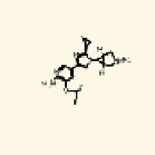 CC(=O)N1C[C@@H]2[C@H](C1)[C@H]2n1cc(-c2cnc(N)c(OC(F)F)c2)nc1C1CC1